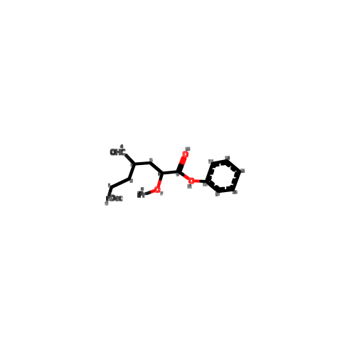 CCCCCCCCCCCCC(C=O)CC(OC(C)C)C(=O)Oc1ccccc1